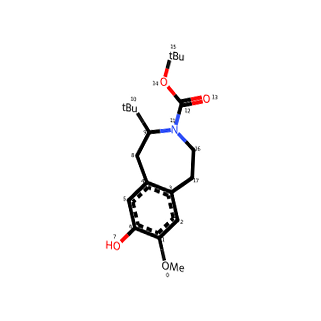 COc1cc2c(cc1O)CC(C(C)(C)C)N(C(=O)OC(C)(C)C)CC2